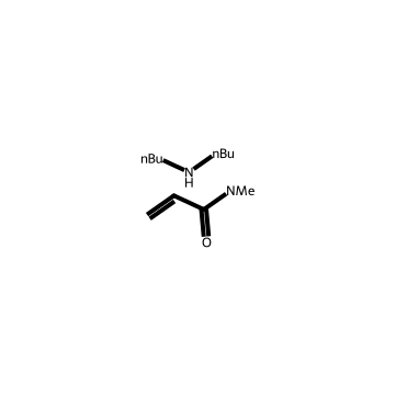 C=CC(=O)NC.CCCCNCCCC